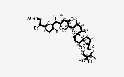 CC[C@@H](COC)[C@H]1CC[C@H](C)[C@H]([C@@H](C)[C@H](O)[C@H](C)C(=O)[C@H](CC)[C@H]2O[C@]3(C=C[C@@H](OC(C)=O)[C@]4(CC[C@@](C)([C@H]5CC[C@](O)(CC)[C@H](C)O5)O4)O3)[C@H](C)C[C@@H]2C)O1